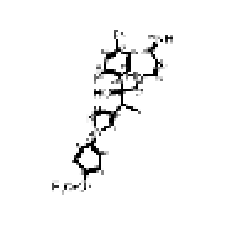 CC(c1cn(-c2ccc(OC(F)(F)F)cc2)nn1)C(O)(CN/C=N\C=N)c1ccc(F)cc1F